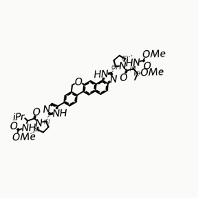 COC(=O)NC(C(=O)N1[C@@H](C)CC[C@H]1c1ncc(-c2ccc3c(c2)COc2cc4c(ccc5nc([C@@H]6CC[C@H](C)N6C(=O)[C@@H](NC(=O)OC)[C@@H](C)OC)[nH]c54)cc2-3)[nH]1)C(C)C